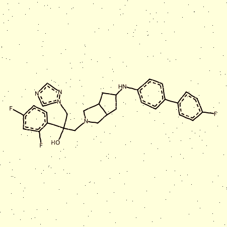 OC(CN1CC2CC(Nc3ccc(-c4ccc(F)cc4)cc3)CC2C1)(Cn1cncn1)c1ccc(F)cc1F